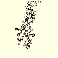 Cc1c([C@@]23CC[C@]4(C)[C@H](CC[C@@H]5[C@@]6(C)CC[C@H](OC(=O)CC(C)(C)C(=O)O)C(C)(C)[C@@H]6CC[C@]54C)C2=C(C(C)C)C(=O)C3)n(CCN(C)C)n(-c2ccc(Cl)cn2)c1=O